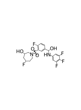 O=S(=O)(c1cc(C(O)Nc2cc(F)c(F)c(F)c2)ccc1F)N1CCC(F)CC(O)C1